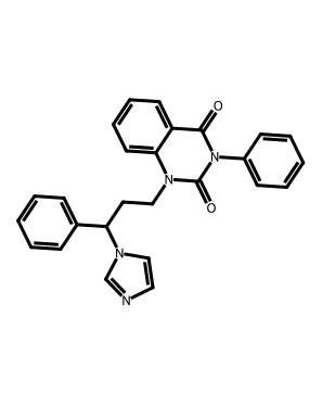 O=c1c2ccccc2n(CCC(c2ccccc2)n2ccnc2)c(=O)n1-c1ccccc1